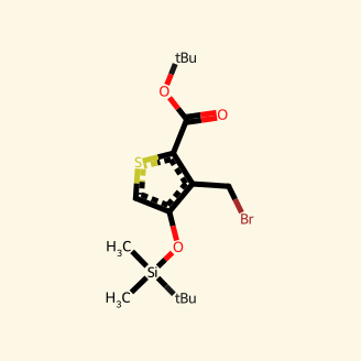 CC(C)(C)OC(=O)c1scc(O[Si](C)(C)C(C)(C)C)c1CBr